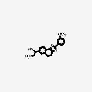 CCCC(CN)c1ccc2c(c1)CCc1nc(-c3cccc(OC)c3)sc1-2